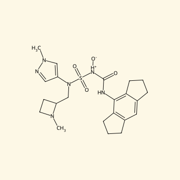 CN1CCC1CN(c1cnn(C)c1)S(=O)(=O)[NH+]([O-])C(=O)Nc1c2c(cc3c1CCC3)CCC2